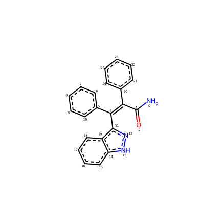 NC(=O)C(=C(c1ccccc1)c1n[nH]c2ccccc12)c1ccccc1